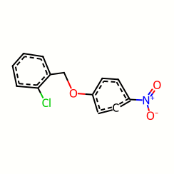 O=[N+]([O-])c1ccc(OCc2ccccc2Cl)cc1